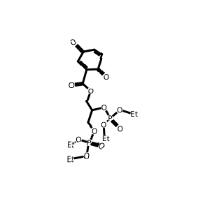 CCOP(=O)(OCC)OCC(COC(=O)C1=CC(=O)C=CC1=O)OP(=O)(OCC)OCC